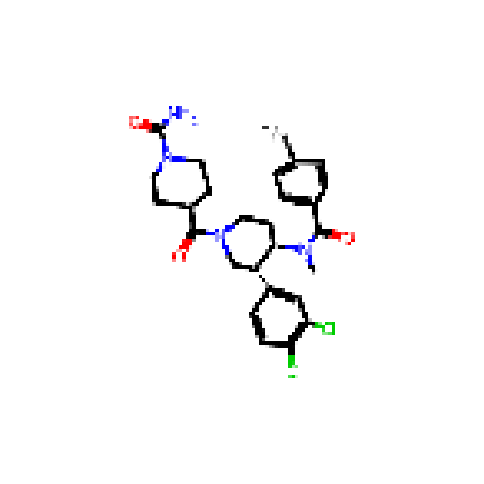 CN(C(=O)c1ccc(C(F)(F)F)cc1)[C@@H]1CCN(C(=O)C2CCN(C(N)=O)CC2)C[C@H]1c1ccc(Cl)c(Cl)c1